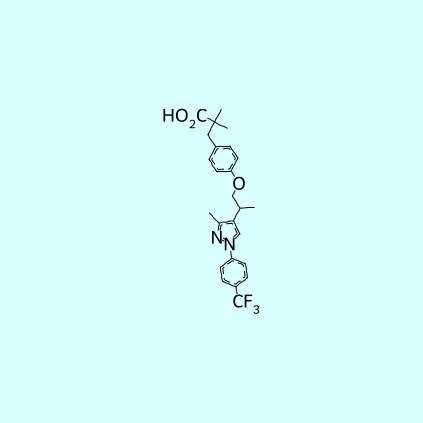 Cc1nn(-c2ccc(C(F)(F)F)cc2)cc1C(C)COc1ccc(CC(C)(C)C(=O)O)cc1